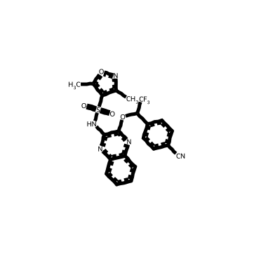 Cc1noc(C)c1S(=O)(=O)Nc1nc2ccccc2nc1OC(c1ccc(C#N)cc1)C(F)(F)F